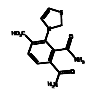 NC(=O)c1ccc(C(=O)O)c(N2C=CSC2)c1C(N)=O